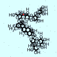 CC1O[C@@H](O[C@@H]2C(O)[C@@H](N)C(CO)O[C@H]2OC(=O)[C@]23CCC(C)(C)CC2C2=CCC4C5(C)CC[C@H](O[C@@H]6OC[C@@H](O)[C@H](O[C@@H]7OC[C@@H](O)[C@H](O)C7O)C6O[C@@H]6OC(CO)[C@H](O)[C@H](O)C6O)[C@](C)(C=O)[C@@H]5CC[C@]4(C)[C@]2(C)CC3O)[C@@H](O)C(O)[C@H]1O[C@@H]1OC[C@@H](O)C(O[C@@H]2OC[C@](O)(CO)C2O)[C@H]1O